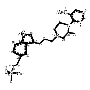 COc1cncnc1N1CCN(CCCc2c[nH]c3ccc(CNS(C)(=O)=O)cc23)CC1C